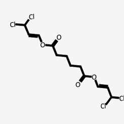 O=C(CCCCC(=O)OC=CC(Cl)Cl)OC=CC(Cl)Cl